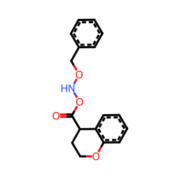 O=C(ONOCc1ccccc1)C1CCOc2ccccc21